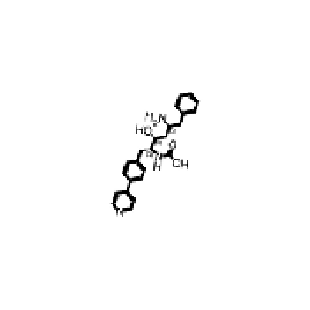 N[C@@H](Cc1ccccc1)C[C@@H](O)[C@H](Cc1ccc(-c2ccncc2)cc1)NC(=O)O